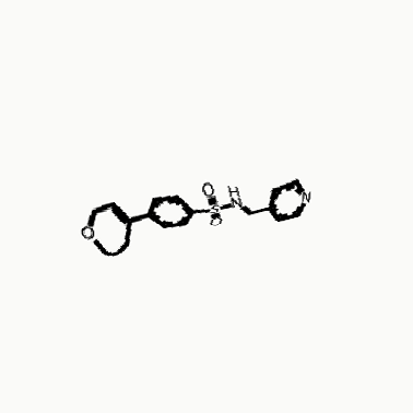 O=S(=O)(NCc1ccncc1)c1ccc(C2=CCOCC2)cc1